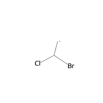 [CH2]C(Cl)Br